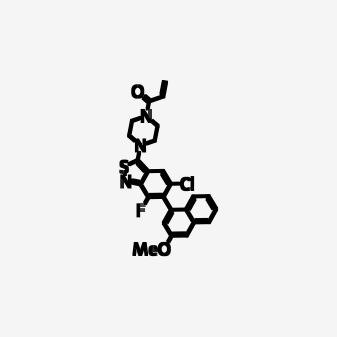 C=CC(=O)N1CCN(c2snc3c(F)c(-c4cc(OC)cc5ccccc45)c(Cl)cc23)CC1